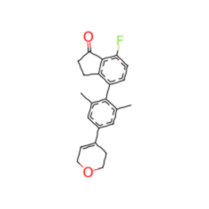 Cc1cc(C2=CCOCC2)cc(C)c1-c1ccc(F)c2c1CCC2=O